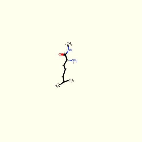 CNC(=O)[C@@H](N)CCCC(C)C